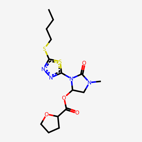 CCCCSc1nnc(N2C(=O)N(C)CC2OC(=O)C2CCCO2)s1